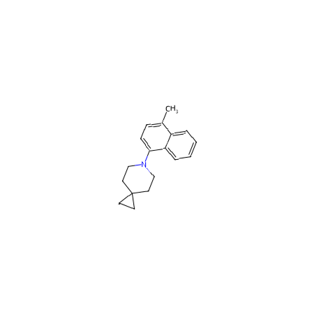 Cc1ccc(N2CCC3(CC2)CC3)c2ccccc12